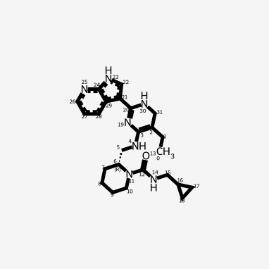 CCC1=C(NC[C@H]2CCCCN2C(=O)NCC2CC2)N=C(c2c[nH]c3ncccc23)NC1